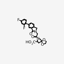 O=C(O)[C@@H]1CC2(CN1C(=O)CN1Cc3ccc(-c4ccc(F)cc4F)cc3C1=O)OCCO2